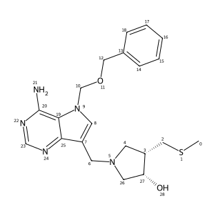 CSC[C@H]1CN(Cc2cn(COCc3ccccc3)c3c(N)ncnc23)C[C@H]1O